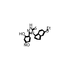 CCOc1ccc2c(-n3c(-c4ccc(N=O)cc4O)n[nH]c3=S)cccc2c1